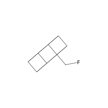 FCC12C3C4C5C3C1C5C42